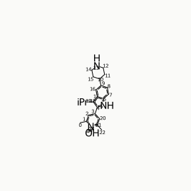 Cc1cc(-c2[nH]c3ccc(C4CCNCC4)cc3c2C(C)C)cc(C)[n+]1O